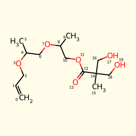 C=CCOC(C)COC(C)COC(=O)C(C)(CO)CO